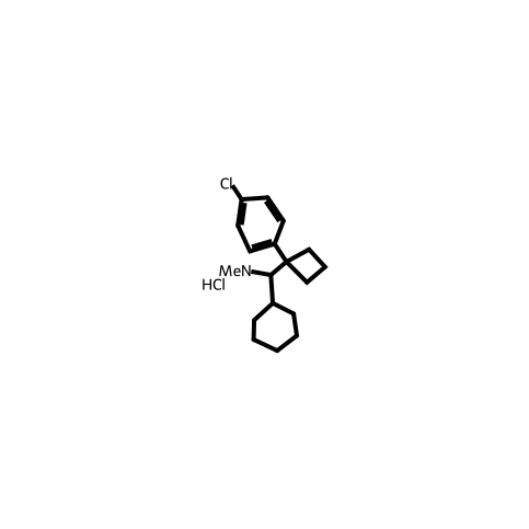 CNC(C1CCCCC1)C1(c2ccc(Cl)cc2)CCC1.Cl